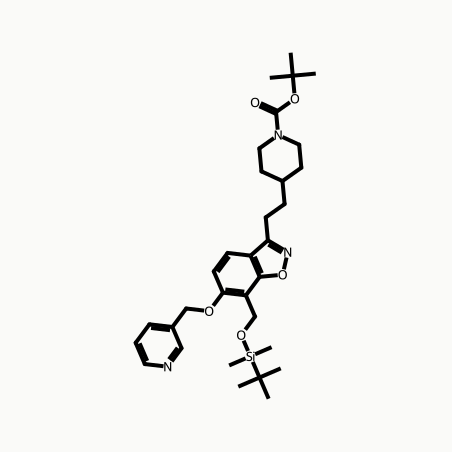 CC(C)(C)OC(=O)N1CCC(CCc2noc3c(CO[Si](C)(C)C(C)(C)C)c(OCc4cccnc4)ccc23)CC1